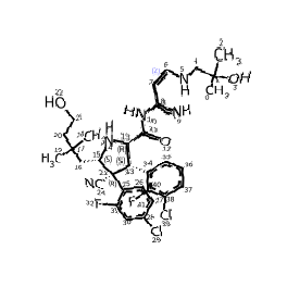 CC(C)(O)CN/C=C\C(=N)NC(=O)[C@@H]1N[C@@H](CC(C)(C)CCO)[C@](C#N)(c2ccc(Cl)cc2F)[C@H]1c1cccc(Cl)c1F